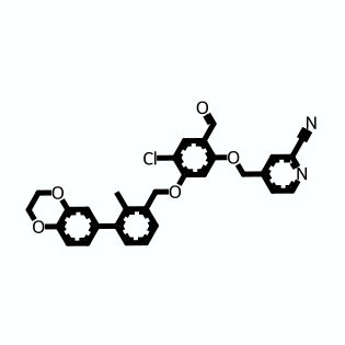 Cc1c(COc2cc(OCc3ccnc(C#N)c3)c(C=O)cc2Cl)cccc1-c1ccc2c(c1)OCCO2